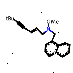 CON(CC=CC#CC(C)(C)C)Cc1cccc2ccccc12